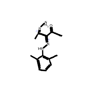 CC(=O)C(=N/Nc1c(C)cccc1C)/C(C)=N\N